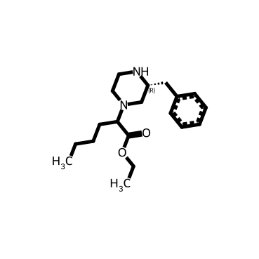 CCCCC(C(=O)OCC)N1CCN[C@H](Cc2ccccc2)C1